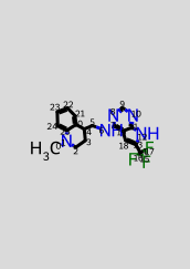 CN1CCC(CNc2ncnc3[nH]c(C(F)(F)F)cc23)c2ccccc21